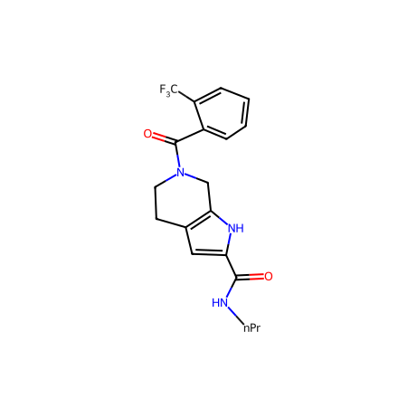 CCCNC(=O)c1cc2c([nH]1)CN(C(=O)c1ccccc1C(F)(F)F)CC2